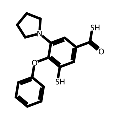 O=C(S)c1cc(S)c(Oc2ccccc2)c(N2CCCC2)c1